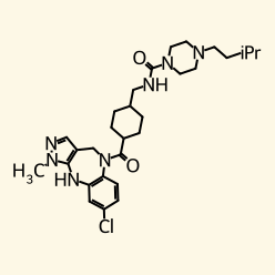 CC(C)CCN1CCN(C(=O)NCC2CCC(C(=O)N3Cc4cnn(C)c4Nc4cc(Cl)ccc43)CC2)CC1